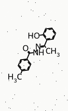 C/C(=N\NC(=O)c1ccc(C)cc1)c1ccccc1O